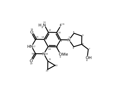 COc1c(N2CCC(CO)C2)c(F)c(N)c2c(=O)[nH]c(=O)n(C3CC3)c12